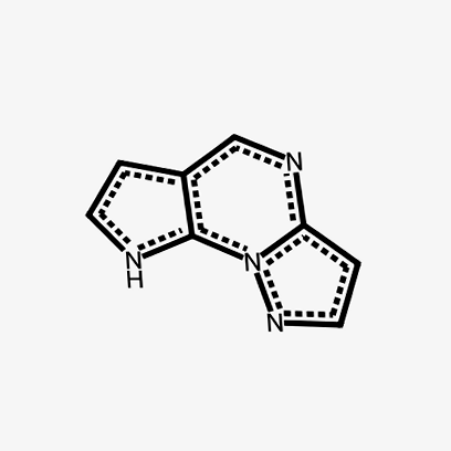 c1cc2ncc3cc[nH]c3n2n1